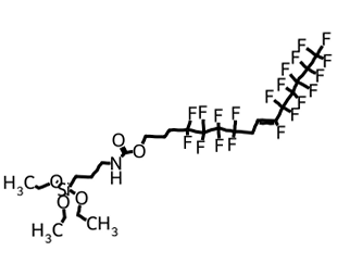 CCO[Si](CCCNC(=O)OCCCC(F)(F)C(F)(F)C(F)(F)C(F)(F)C/C=C(\F)C(F)(F)C(F)(F)C(F)(F)C(F)(F)C(F)(F)F)(OCC)OCC